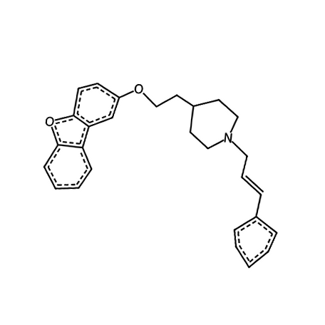 C(=Cc1ccccc1)CN1CCC(CCOc2ccc3oc4ccccc4c3c2)CC1